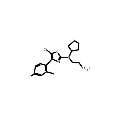 O=C(O)CCN(c1nc(-c2ccc(F)cc2F)c(Cl)s1)C1CCCC1